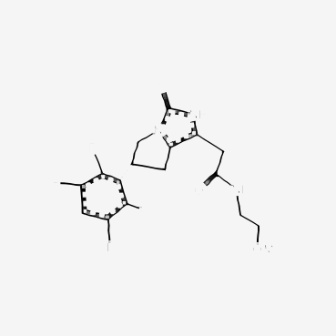 COCCNC(=O)Cc1[nH]c(=S)n2c1C[C@H](c1c(F)c(F)cc(F)c1F)C2